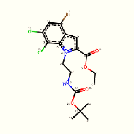 CCOC(=O)c1cc2c(Br)cc(Cl)c(Cl)c2n1CCNC(=O)OC(C)(C)C